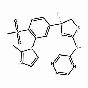 Cc1nccn1-c1cc([C@@]2(C)CSC(Nc3cnccn3)=N2)ccc1S(C)(=O)=O